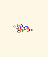 CS(=O)(=O)c1ccc(-c2ccc3nc4c(n3c2)[C@@H](c2ccccc2OC(F)F)CC4=O)cn1